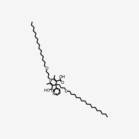 CCCCCCCCCCCCCCCCOCCCN1C(C)=C(C(=O)O)C(CCCOCCCCCCCCCCCCCCCC)(c2cccnc2)C(C(=O)O)=C1C